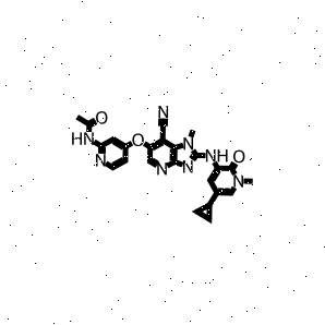 CC(=O)Nc1cc(Oc2cnc3nc(Nc4cc(C5CC5)cn(C)c4=O)n(C)c3c2C#N)ccn1